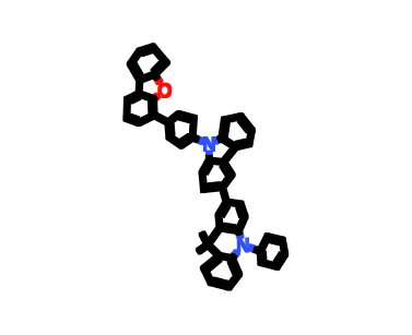 CC1(C)c2ccccc2N(c2ccccc2)c2ccc(-c3ccc4c(c3)c3ccccc3n4-c3ccc(-c4cccc5c4oc4ccccc45)cc3)cc21